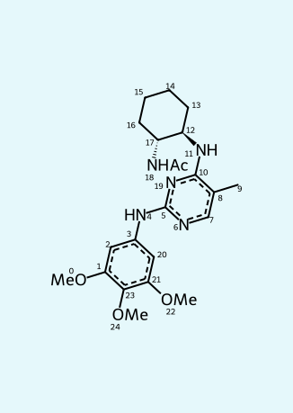 COc1cc(Nc2ncc(C)c(N[C@@H]3CCCC[C@H]3NC(C)=O)n2)cc(OC)c1OC